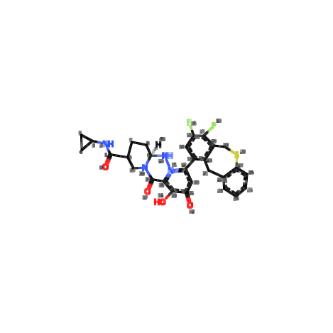 O=C(NC1CC1)C1CC[C@H]2Nn3c(-c4cc(F)c(F)c5c4Cc4ccccc4SC5)cc(=O)c(O)c3C(=O)N2C1